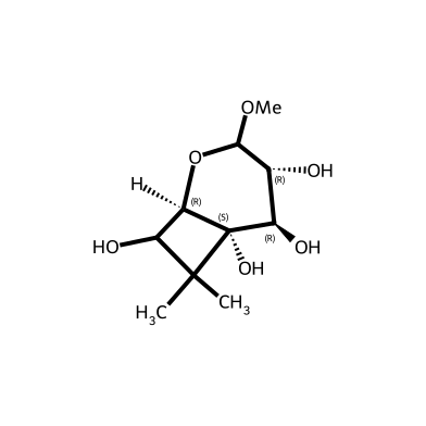 COC1O[C@@H]2C(O)C(C)(C)[C@]2(O)[C@H](O)[C@H]1O